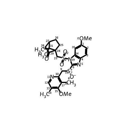 COc1ccc2nc([S@+]([O-])Cc3ncc(C)c(OC)c3C)n(S(=O)(=O)CC34CCC(CC3=O)C4(C)C)c2c1